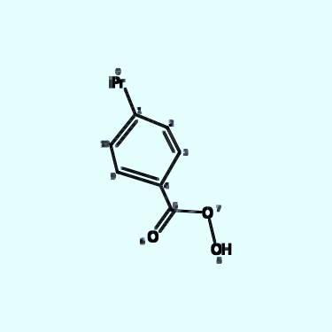 CC(C)c1ccc(C(=O)OO)cc1